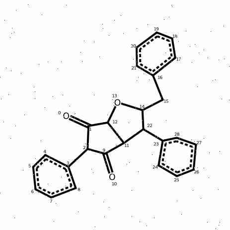 O=C1C(c2ccccc2)C(=O)C2C1OC(Cc1ccccc1)C2c1ccccc1